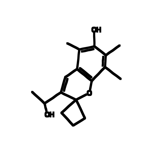 Cc1c(C)c2c(c(C)c1O)C=C(C(C)O)C1(CCC1)O2